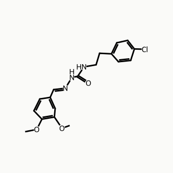 COc1ccc(/C=N/NC(=O)NCCc2ccc(Cl)cc2)cc1OC